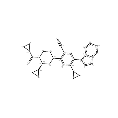 N#Cc1cc(-c2cnc3cnccn23)c(C2CC2)nc1N1CCN(C(=O)C2CC2)[C@H](C2CC2)C1